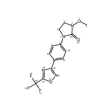 CON1CCN(c2ccc(-c3noc(C(F)(F)F)n3)cc2)C1=O